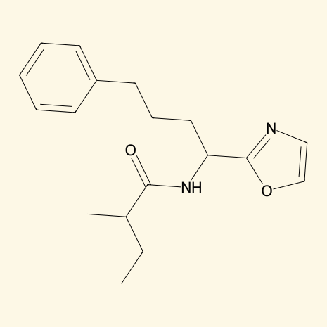 CCC(C)C(=O)NC(CCCc1ccccc1)c1ncco1